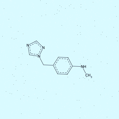 CNc1ccc(Cn2cncn2)cc1